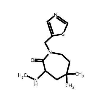 CNC1CC(C)(C)CCN(Cc2cncs2)C1=O